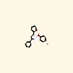 CCOc1ccc(C2Oc3ccccc3C3CC(c4ccccc4)=NN32)cc1